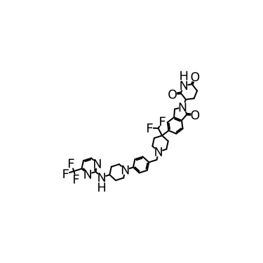 O=C1CCC(N2Cc3cc(C4(C(F)F)CCN(Cc5ccc(N6CCC(Nc7nccc(C(F)(F)F)n7)CC6)cc5)CC4)ccc3C2=O)C(=O)N1